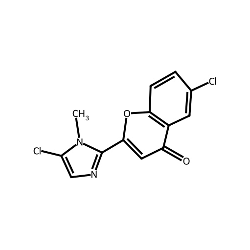 Cn1c(Cl)cnc1-c1cc(=O)c2cc(Cl)ccc2o1